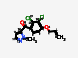 C=CCOc1ccc(C(=O)c2ccnn2C)c(Cl)c1Cl